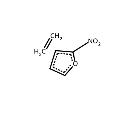 C=C.O=[N+]([O-])c1ccco1